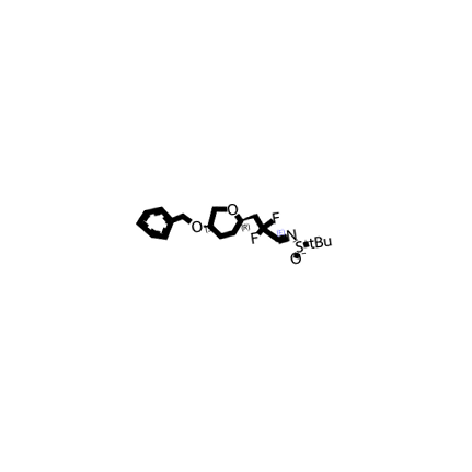 CC(C)(C)[S+]([O-])/N=C/C(F)(F)C[C@H]1CC[C@H](OCc2ccccc2)CO1